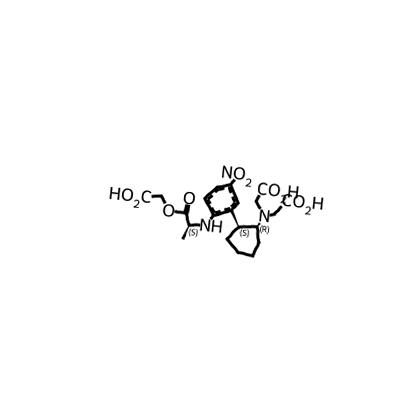 C[C@H](Nc1ccc([N+](=O)[O-])cc1[C@@H]1CCCC[C@H]1N(CC(=O)O)CC(=O)O)C(=O)OCC(=O)O